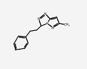 Cc1cc2n(n1)C(CCc1ccccc1)N=N2